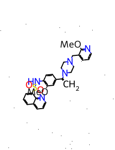 C=C(c1ccc(NS(=O)(=O)c2cccc3cccnc23)c(OC)c1)N1CCN(Cc2cccnc2OC)CC1